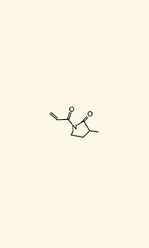 C=CC(=O)N1CCC(C)C1=O